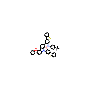 CC(C)(C)c1ccc(N2B3c4cc5c(cc4-n4c6ccc7c8ccccc8oc7c6c6ccc(c3c64)-c3cc4c(cc32)sc2ccccc24)sc2ccccc25)cc1